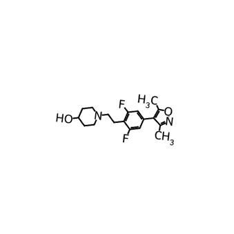 Cc1noc(C)c1-c1cc(F)c(CCN2CCC(O)CC2)c(F)c1